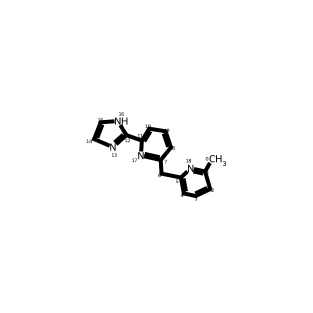 Cc1cccc(Cc2cccc(-c3ncc[nH]3)n2)n1